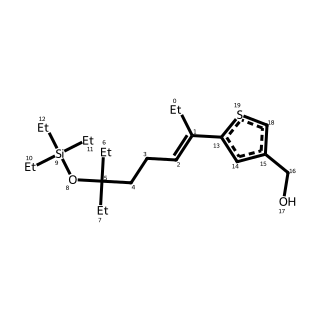 CCC(=CCCC(CC)(CC)O[Si](CC)(CC)CC)c1cc(CO)cs1